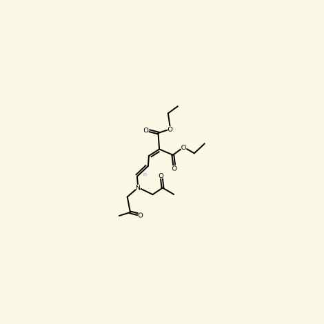 CCOC(=O)C(=C/C=C/N(CC(C)=O)CC(C)=O)C(=O)OCC